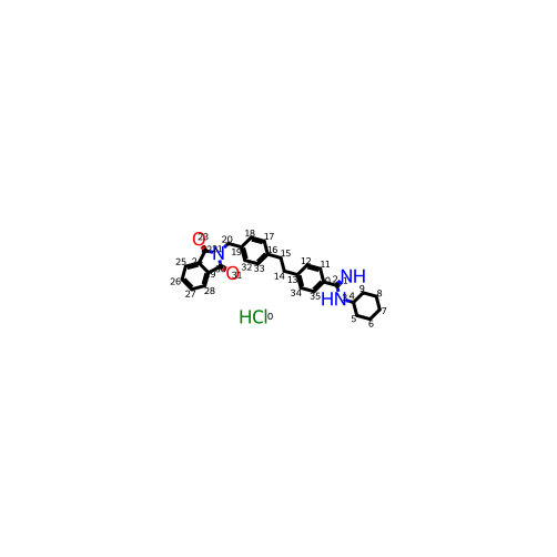 Cl.N=C(NC1CCCCC1)c1ccc(CCc2ccc(CN3C(=O)c4ccccc4C3=O)cc2)cc1